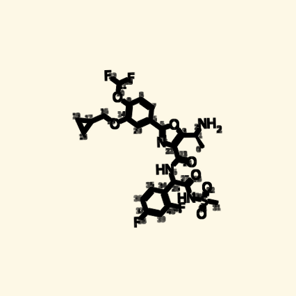 C[C@H](N)c1oc(-c2ccc(OC(F)F)c(OCC3CC3)c2)nc1C(=O)NC(C(=O)NS(C)(=O)=O)c1ccc(F)cc1F